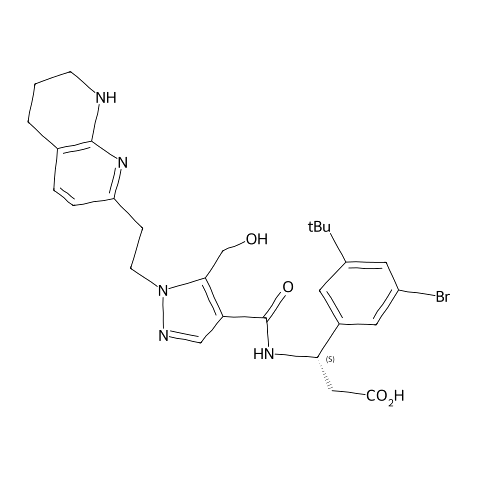 CC(C)(C)c1cc(Br)cc([C@H](CC(=O)O)NC(=O)c2cnn(CCc3ccc4c(n3)NCCC4)c2CO)c1